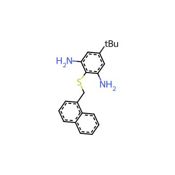 CC(C)(C)c1cc(N)c(SCc2cccc3ccccc23)c(N)c1